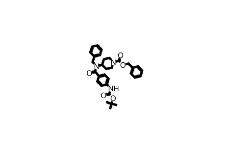 CC(C)(C)OC(=O)Nc1ccc(C(=O)N(Cc2ccccc2)C2CCN(C(=O)OCc3ccccc3)CC2)cc1